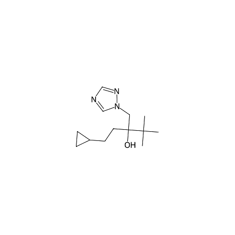 CC(C)(C)C(O)(CCC1CC1)Cn1cncn1